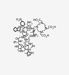 CSCC[C@H](NC(=O)[C@H](CC(C)C)NC(=O)[C@H](Cc1c[nH]cn1)NC(=O)[C@@H](C)NC(=O)[C@@H](NC(=O)[C@H](C)NC(=O)[C@H](Cc1c[nH]c2ccccc12)NC(=O)[C@H]([C@@H](CC(N)=O)NC(=O)CN1CCN(CC(=O)O)CCN(CC(=O)O)CCN(CC(=O)O)CC1)N(C(=O)CN)C(=O)c1ccc(N)cc1)C(C)C)C(N)=O